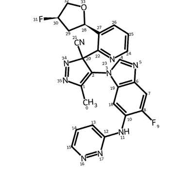 CC1=C(n2cnc3cc(F)c(Nc4cccnn4)cc32)C(C#N)(c2ncccc2[C@H]2C[C@@H](F)CO2)N=N1